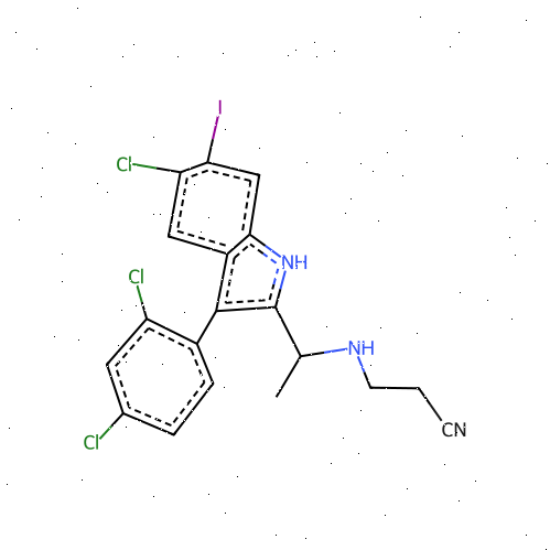 CC(NCCC#N)c1[nH]c2cc(I)c(Cl)cc2c1-c1ccc(Cl)cc1Cl